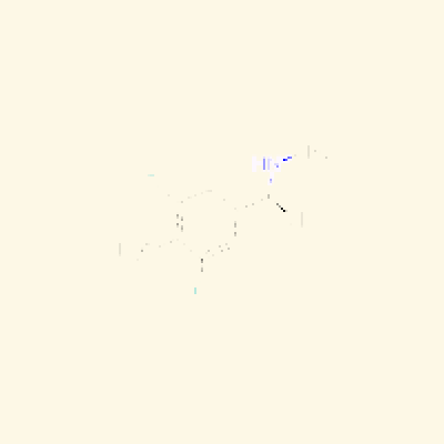 CC[C@H](C)N[C@@H](C)C1C=C(F)C(C)=C(F)C1